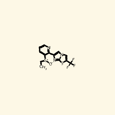 CC[S+]([O-])c1cccnc1-c1cn2cc(C(F)(F)F)sc2n1